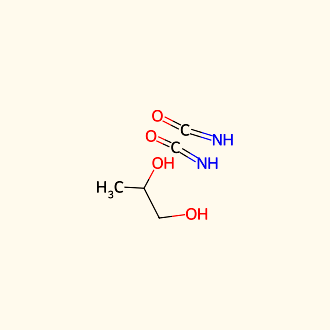 CC(O)CO.N=C=O.N=C=O